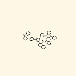 c1ccc(-c2cc(-c3ccc4ccccc4c3-c3ccc(-c4nc5ccccc5c5c6ccccc6n(-c6ccccc6)c45)cc3)nc(-c3ccc(-c4cccc5oc6ccccc6c45)cc3)n2)cc1